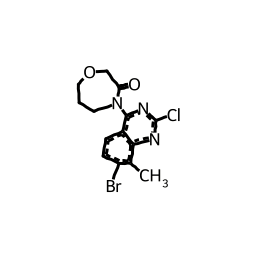 Cc1c(Br)ccc2c(N3CCCOCC3=O)nc(Cl)nc12